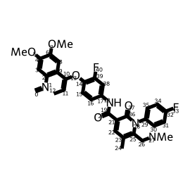 C=Nc1cc(OC)c(OC)cc1/C(=C\C)Oc1ccc(NC(=O)c2cc(C)c(CNC)n(-c3ccc(F)cc3)c2=O)cc1F